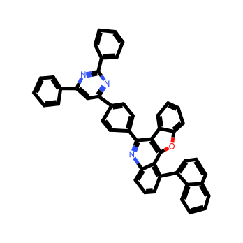 c1ccc(-c2cc(-c3ccc(-c4nc5cccc(-c6cccc7ccccc67)c5c5oc6ccccc6c45)cc3)nc(-c3ccccc3)n2)cc1